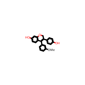 COc1cccc(C2=C(c3ccc(O)cc3)COc3cc(O)ccc32)c1